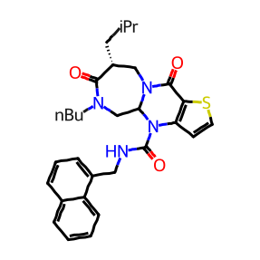 CCCCN1CC2N(C[C@@H](CC(C)C)C1=O)C(=O)c1sccc1N2C(=O)NCc1cccc2ccccc12